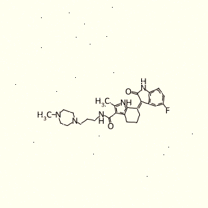 Cc1[nH]c2c(c1C(=O)NCCCN1CCN(C)CC1)CCC/C2=C1/C(=O)Nc2ccc(F)cc21